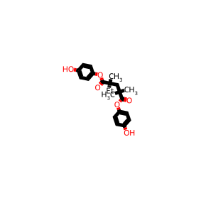 CCC(C)(CC(C)(C)C(=O)Oc1ccc(O)cc1)C(=O)Oc1ccc(O)cc1